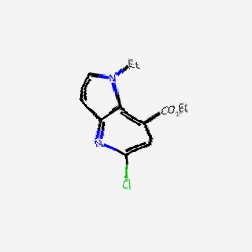 CCOC(=O)c1cc(Cl)nc2ccn(CC)c12